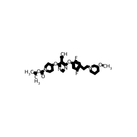 C#Cc1c(Oc2cc(F)c(CCN3CCCC(OC)C3)cc2F)ncnc1OC1CCN(C(=O)OC(C)C)CC1